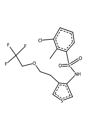 Cc1c(Cl)cccc1S(=O)(=O)Nc1cscc1CCOCC(F)(F)F